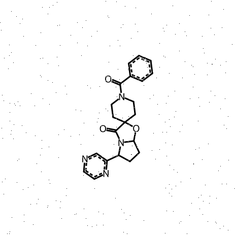 O=C(c1ccccc1)N1CCC2(CC1)OC1CCC(c3cnccn3)N1C2=O